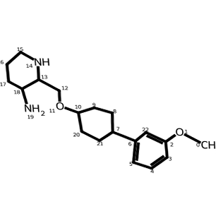 COc1cccc(C2CCC(OCC3NCCCC3N)CC2)c1